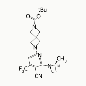 C[C@H]1CCN1c1nc(N2CC3(CN(C(=O)OC(C)(C)C)C3)C2)cc(C(F)(F)F)c1C#N